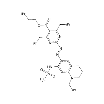 CC(C)CCOC(=O)c1c(CC(C)C)nc(N=Nc2cc3c(cc2NS(=O)(=O)C(F)(F)F)N(CC(C)C)CCC3)nc1CC(C)C